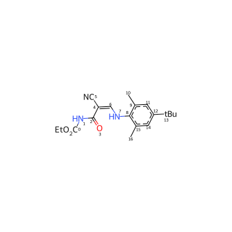 CCOC(=O)NC(=O)C(C#N)=CNc1c(C)cc(C(C)(C)C)cc1C